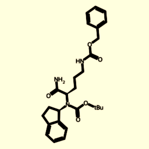 CC(C)(C)OC(=O)N([C@H](CCCNC(=O)OCc1ccccc1)C(N)=O)[C@@H]1CCc2ccccc21